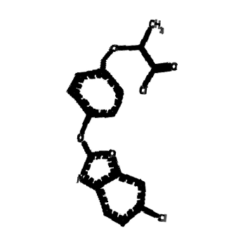 CC(Oc1ccc(Oc2nc3ccc(Cl)cc3o2)cc1)C(=O)Cl